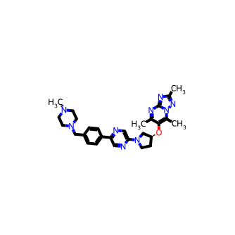 Cc1nc2nc(C)c(O[C@@H]3CCN(c4cnc(-c5ccc(CN6CCN(C)CC6)cc5)cn4)C3)c(C)n2n1